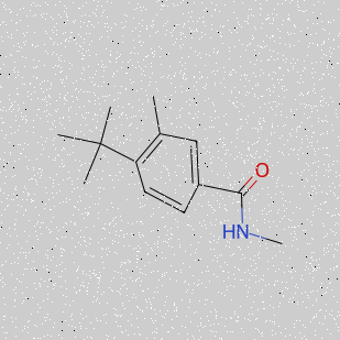 CNC(=O)c1ccc(C(C)(C)C)c(C)c1